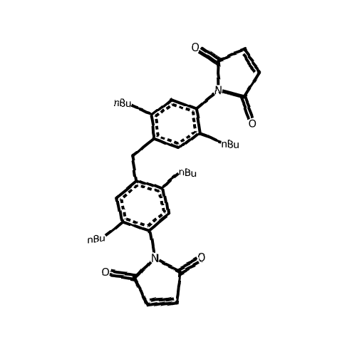 CCCCc1cc(N2C(=O)C=CC2=O)c(CCCC)cc1Cc1cc(CCCC)c(N2C(=O)C=CC2=O)cc1CCCC